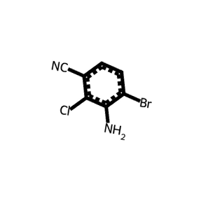 N#Cc1ccc(Br)c(N)c1Cl